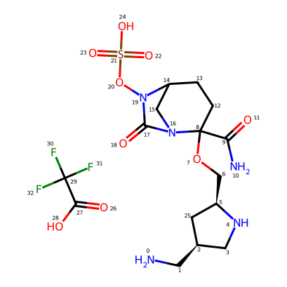 NC[C@@H]1CN[C@H](COC2(C(N)=O)CCC3CN2C(=O)N3OS(=O)(=O)O)C1.O=C(O)C(F)(F)F